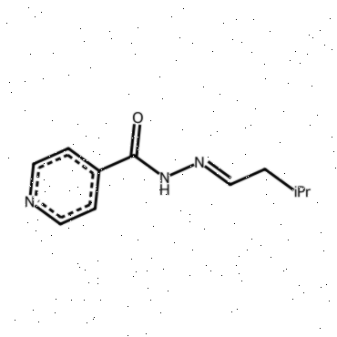 CC(C)C/C=N/NC(=O)c1ccncc1